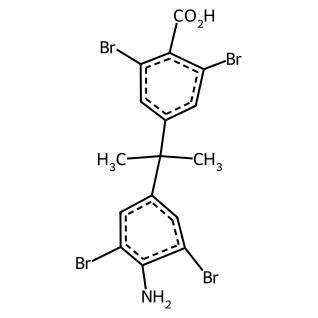 CC(C)(c1cc(Br)c(N)c(Br)c1)c1cc(Br)c(C(=O)O)c(Br)c1